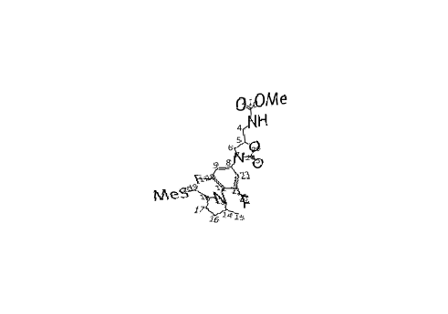 COC(=O)NCC1CN(c2cc(F)c(N3C(C)CCC3CSC)c(F)c2)C(=O)O1